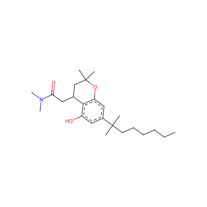 CCCCCCC(C)(C)c1cc(O)c2c(c1)OC(C)(C)CC2CC(=O)N(C)C